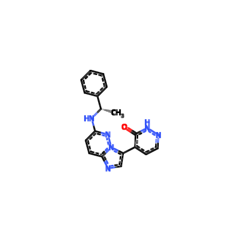 C[C@H](Nc1ccc2ncc(-c3ccn[nH]c3=O)n2n1)c1ccccc1